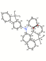 CC1(C)c2ccccc2-c2ccc(N(c3ccccc3)c3ccc4cccc5c4c3-c3ccccc3C5(C)C)cc21